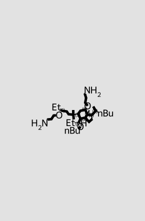 CCCCO[C@H](CC)C1[C@@H](C(C)(C)CC[C@H](CC)OCCCN)C[C@H](OCCCN)[C@]2(C)[C@@H]([C@H](C)CCCC)CC[C@@H]12